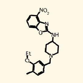 CCOc1cc(CN2CCC(Nc3nc4c([N+](=O)[O-])cccc4o3)CC2)ccc1C